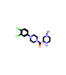 CC(C)N1CCN[C@H](C(=O)N2CCN(c3ccc(Cl)c(Cl)c3)CC2)C1